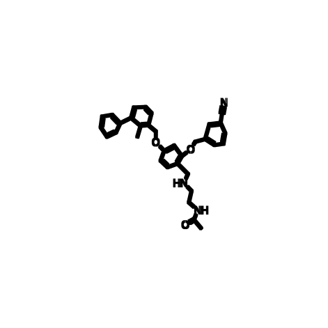 CC(=O)NCCNCc1ccc(OCc2cccc(-c3ccccc3)c2C)cc1OCc1cccc(C#N)c1